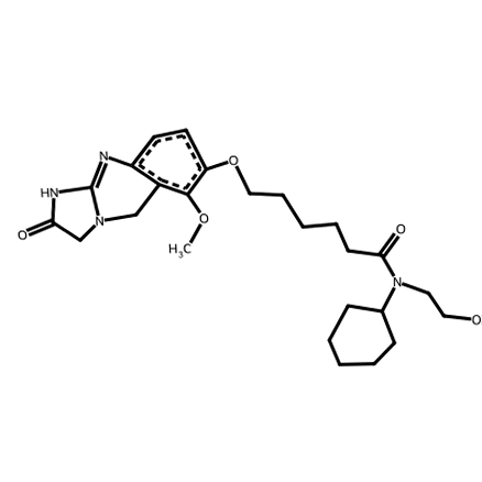 COc1c(OCCCCCC(=O)N(CCO)C2CCCCC2)ccc2c1CN1CC(=O)NC1=N2